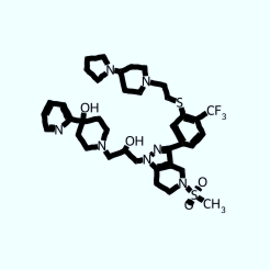 CS(=O)(=O)N1CCc2c(c(-c3ccc(C(F)(F)F)c(SCCN4CCC(N5CCCC5)CC4)c3)nn2CC(O)CN2CCC(O)(c3ccccn3)CC2)C1